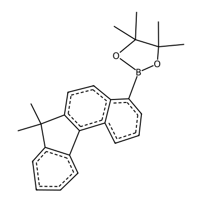 CC1(C)c2ccccc2-c2c1ccc1c(B3OC(C)(C)C(C)(C)O3)cccc21